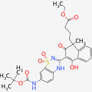 CCOC(=O)CCCC1(C)C(=O)C(C2=NS(=O)(=O)c3cc(NC(=O)OC(C)(C)C)ccc3N2)=C(O)c2ccccc21